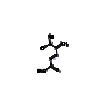 C=C(/C=C/C(=O)OC)C(=N)Cl